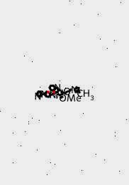 COc1nc2c(NC3CCN(c4cccnc4)CC3)c3c(nc2cc1COCCN1CCC(C)C1)CCCC3